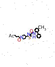 CC(=O)CCCC(=O)N1CCC(c2nc(C(=O)Nc3ccc(C)cc3-c3ccccc3)cs2)CC1